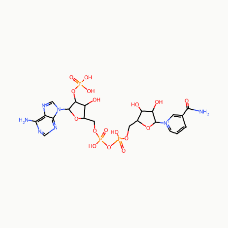 NC(=O)c1ccc[n+](C2OC(COP(=O)(O)OP(=O)(O)OCC3OC(n4cnc5c(N)ncnc54)C(OP(=O)(O)O)C3O)C(O)C2O)c1